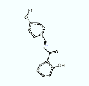 CCOc1ccc(/C=C/C(=O)c2ccccc2O)cc1